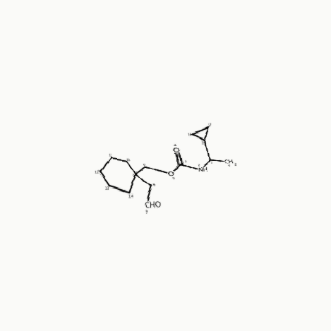 CC(NC(=O)OCC1(CC=O)CCCCC1)C1CC1